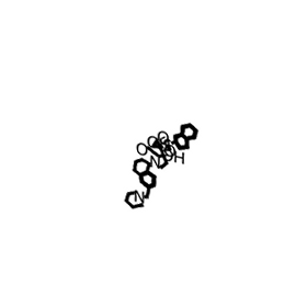 O=C(O)C1N([C@@H]2CCCc3cc(CN4CCCCC4)ccc32)CC[C@@]1(O)C1(S(=O)(=O)c2ccc3ccccc3c2)CC1